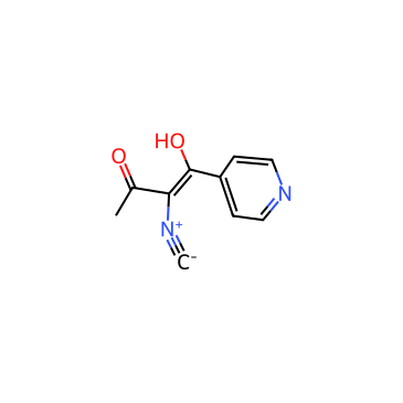 [C-]#[N+]/C(C(C)=O)=C(/O)c1ccncc1